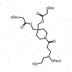 CCCCCCCCCCCC(=O)OCC1(COC(=O)CCCCCCCCCCC)CCN(C(=O)CCN(CCO)CCCCC)CC1